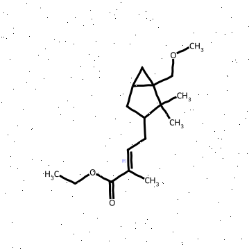 CCOC(=O)/C(C)=C/CC1CC2CC2(COC)C1(C)C